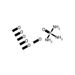 C=O.C=O.C=O.C=O.C=O.C=O.NP(N)(N)=O